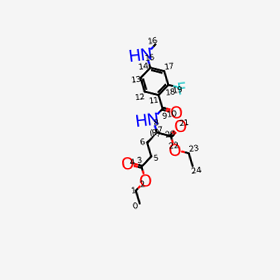 CCOC(=O)CC[C@@H](NC(=O)c1ccc(NC)cc1F)C(=O)OCC